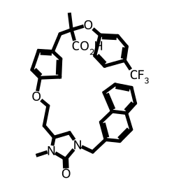 CN1C(=O)N(Cc2ccc3ccccc3c2)CC1CCOc1ccc(CC(C)(Oc2ccc(C(F)(F)F)cc2)C(=O)O)cc1